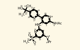 CC(=O)Nc1cc(Nc2cc(OC(C)C)cc(S(C)(=O)=O)n2)c(-c2ccc(C(C)(C)O)cn2)cn1